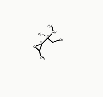 CN[C@@](C)(CO)[C@@H]1OC1C